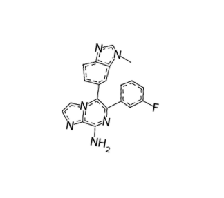 Cn1cnc2ccc(-c3c(-c4cccc(F)c4)nc(N)c4nccn34)cc21